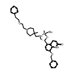 CC1(CNC[C@H](O[Si](C)(C)C(C)(C)C)c2ccc(OCc3ccccc3)c3[nH]c(=O)ccc23)CCN(CCOCCc2ccccc2)CC1